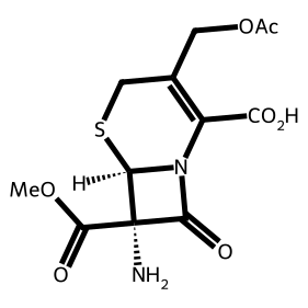 COC(=O)[C@]1(N)C(=O)N2C(C(=O)O)=C(COC(C)=O)CS[C@@H]21